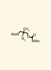 CNCC(C)(C)COC(=O)NC